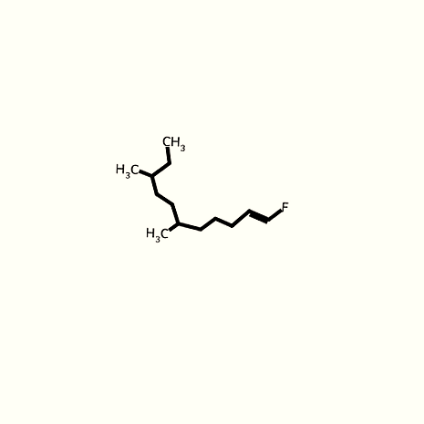 CCC(C)CCC(C)CCC/C=C/F